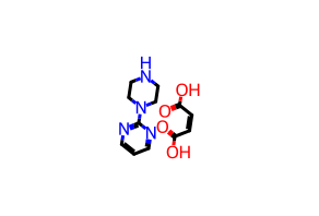 O=C(O)/C=C\C(=O)O.c1cnc(N2CCNCC2)nc1